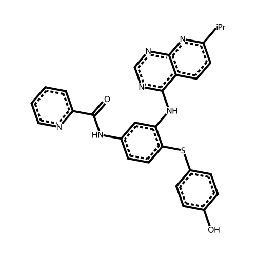 CC(C)c1ccc2c(Nc3cc(NC(=O)c4ccccn4)ccc3Sc3ccc(O)cc3)ncnc2n1